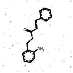 Nc1ccccc1CCC(=O)/C=C/c1ccccc1